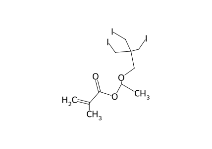 C=C(C)C(=O)OC(C)OCC(CI)(CI)CI